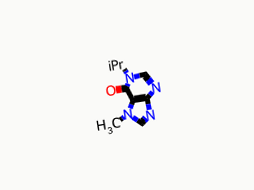 CC(C)n1cnc2ncn(C)c2c1=O